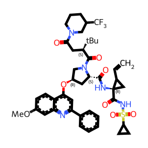 C=CC1C[C@]1(NC(=O)[C@@H]1C[C@@H](Oc2cc(-c3ccccc3)nc3cc(OC)ccc23)CN1C(=O)[C@@H](CC(=O)N1CCCC(C(F)(F)F)C1)C(C)(C)C)C(=O)NS(=O)(=O)C1CC1